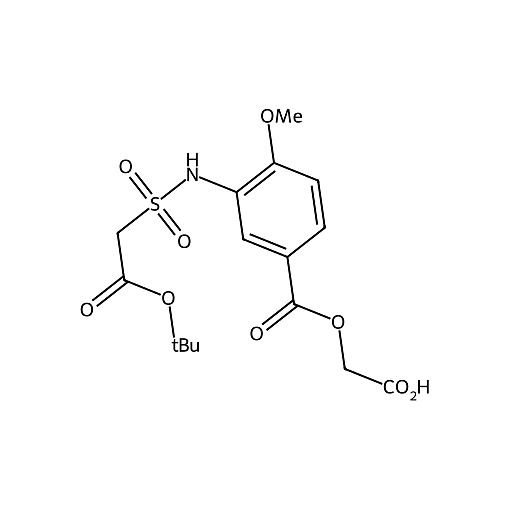 COc1ccc(C(=O)OCC(=O)O)cc1NS(=O)(=O)CC(=O)OC(C)(C)C